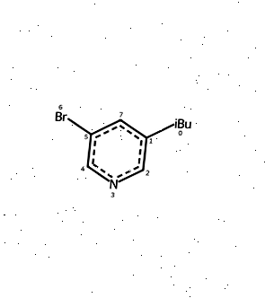 CCC(C)c1cncc(Br)c1